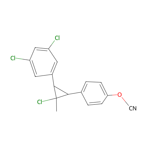 CC1(Cl)C(c2ccc(OC#N)cc2)C1c1cc(Cl)cc(Cl)c1